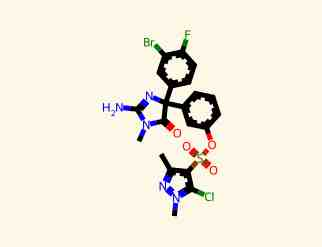 Cc1nn(C)c(Cl)c1S(=O)(=O)Oc1cccc(C2(c3ccc(F)c(Br)c3)N=C(N)N(C)C2=O)c1